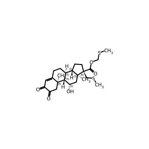 CSCOC(=O)[C@@]1(CSC)CC[C@H]2[C@@H]3CCC4=CC(=O)C(=O)C[C@]4(C)[C@H]3[C@@H](O)C[C@@]21C